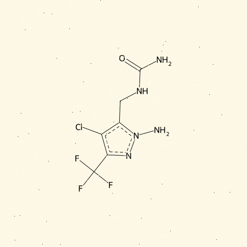 NC(=O)NCc1c(Cl)c(C(F)(F)F)nn1N